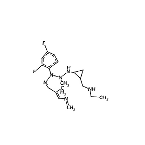 C=N/C=C(C)/C=N\N(c1ccc(F)cc1F)N(C)NC1CC1CNCC